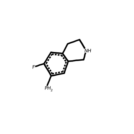 Fc1cc2c(cc1P)CNCC2